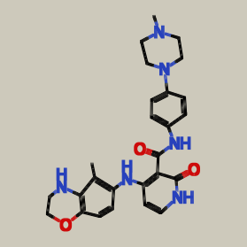 Cc1c(Nc2cc[nH]c(=O)c2C(=O)Nc2ccc(N3CCN(C)CC3)cc2)ccc2c1NCCO2